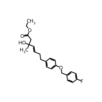 CCOC(=O)CC(C)(O)/C=C/CCc1ccc(OCc2ccc(F)cc2)cc1